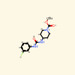 CC(C)(C)OC(=O)N1CCC(NC(=O)Nc2cccc(F)c2)CC1